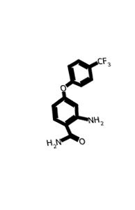 NC(=O)c1ccc(Oc2ccc(C(F)(F)F)cc2)cc1N